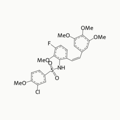 COc1ccc(S(=O)(=O)Nc2c(/C=C\c3cc(OC)c(OC)c(OC)c3)ccc(F)c2OC)cc1Cl